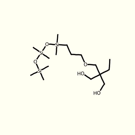 CCC(CO)(CO)COCCC[Si](C)(C)O[Si](C)(C)O[Si](C)(C)C